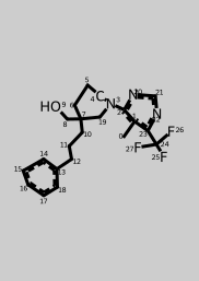 Cc1c(N2CCCC(CO)(CCCc3ccccc3)C2)ncnc1C(F)(F)F